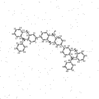 CN1c2ccc(-c3ccc4c(c3)Sc3ccccc3N4c3ccccc3)cc2Sc2cc(-c3ccc4c(c3)Sc3ccccc3N4c3ccccc3)ccc21